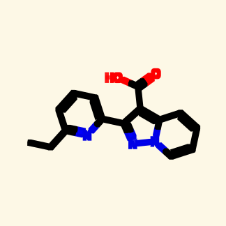 CCc1cccc(-c2nn3ccccc3c2C(=O)O)n1